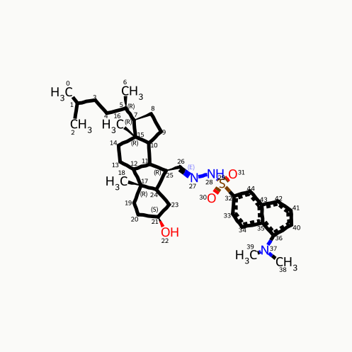 CC(C)CC[C@@H](C)[C@H]1CCC2C3C(CC[C@@]21C)[C@@]1(C)CC[C@H](O)CC1[C@@H]3/C=N/NS(=O)(=O)c1ccc2c(N(C)C)cccc2c1